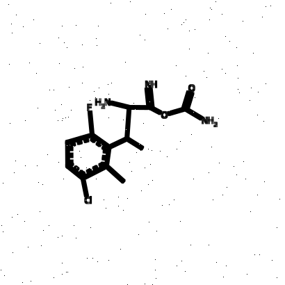 Cc1c(Cl)ccc(F)c1C(C)C(N)C(=N)OC(N)=O